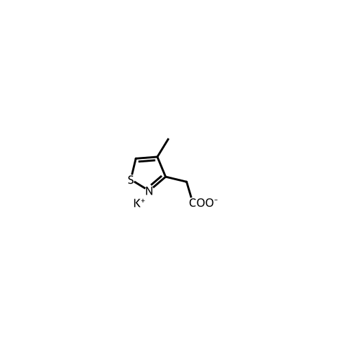 Cc1csnc1CC(=O)[O-].[K+]